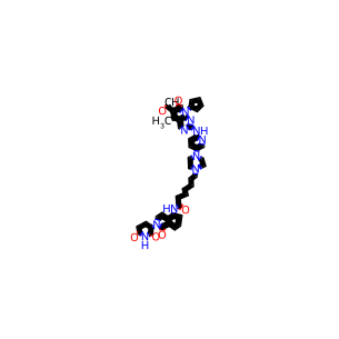 CC(=O)c1c(C)c2cnc(Nc3ccc(N4CCN(CCCCCCC(=O)Nc5cccc6c(=O)n(C7CCC(=O)NC7=O)ccc56)CC4)cn3)nc2n(C2CCCC2)c1=O